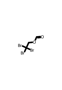 O=COCC(Br)(Br)Br